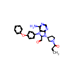 C=CC(=O)N1CC[C@@H](N2c3ncnc(N)c3N(c3ccc(Oc4ccccc4)cc3)C2C=O)C1